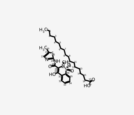 CCCCCCCCCCCCCCCCCC(=O)O.Cc1cnc(NC(=O)C2=C(O)c3ccccc3S(=O)(=O)N2C)s1